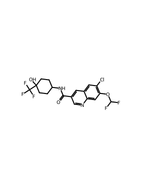 O=C(NC1CCC(O)(C(F)(F)F)CC1)c1cnc2cc(OC(F)F)c(Cl)cc2c1